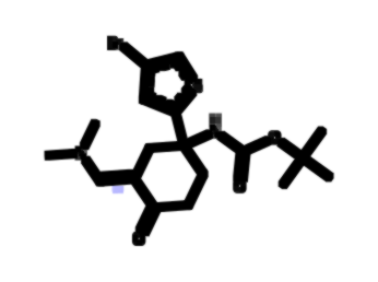 CN(C)/C=C1\CC(NC(=O)OC(C)(C)C)(c2cc(Br)cs2)CCC1=O